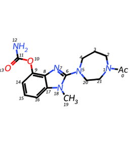 CC(=O)N1CCCN(c2nc3c(OC(N)=O)cccc3n2C)CC1